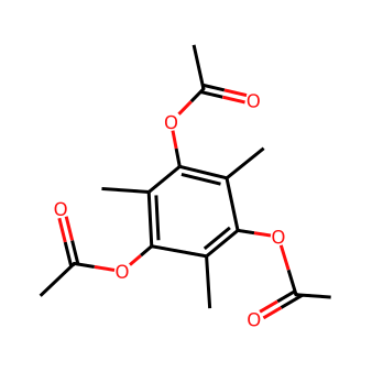 CC(=O)Oc1c(C)c(OC(C)=O)c(C)c(OC(C)=O)c1C